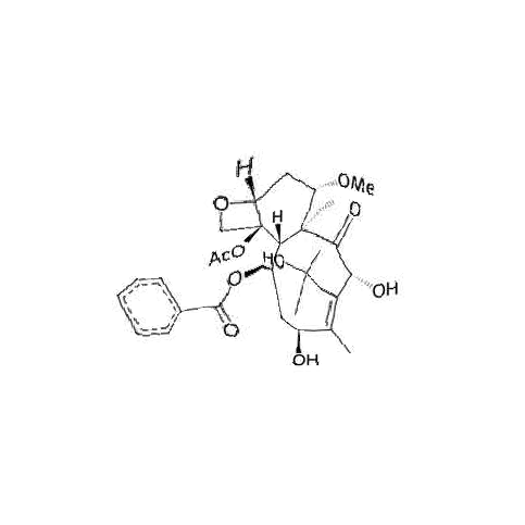 CO[C@H]1C[C@H]2OC[C@@]2(OC(C)=O)[C@H]2[C@H](OC(=O)c3ccccc3)C[C@H](O)/C(C)=C(\C(C)(C)O)[C@@H](O)C(=O)[C@]12C